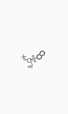 CC(C)(C)OC1CC(CO)N(S(=O)(=O)c2ccc3ccccc3c2)C1